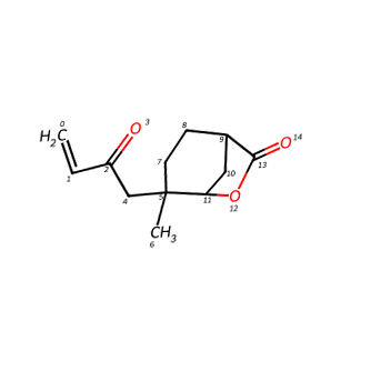 C=CC(=O)CC1(C)CCC2CC1OC2=O